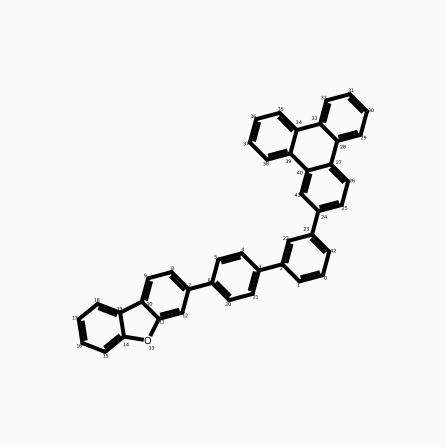 c1cc(-c2ccc(-c3ccc4c(c3)oc3ccccc34)cc2)cc(-c2ccc3c4ccccc4c4ccccc4c3c2)c1